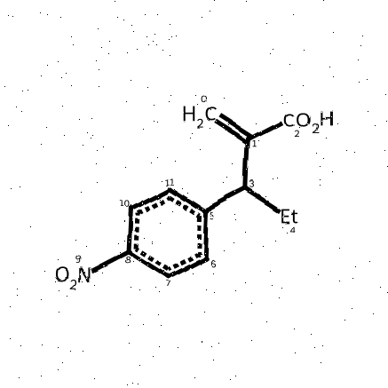 C=C(C(=O)O)C(CC)c1ccc([N+](=O)[O-])cc1